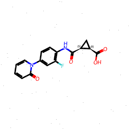 O=C(Nc1ccc(-n2ccccc2=O)cc1F)[C@H]1C[C@H]1C(=O)O